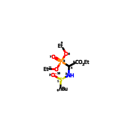 CCCC[S+]([O-])NC(C(=O)OCC)P(=O)(OCC)OCC